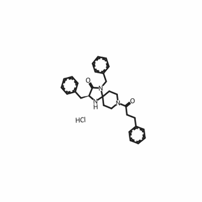 Cl.O=C(CCc1ccccc1)N1CCC2(CC1)N[C@@H](Cc1ccccc1)C(=O)N2Cc1ccccc1